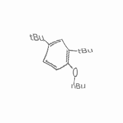 [CH2]CCCOc1ccc(C(C)(C)C)cc1C(C)(C)C